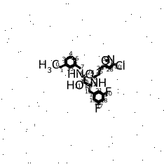 CCc1cccc(CNC[C@H](O)[C@H](Cc2cc(F)cc(F)c2)NC(=O)CCc2cc(Cl)no2)c1